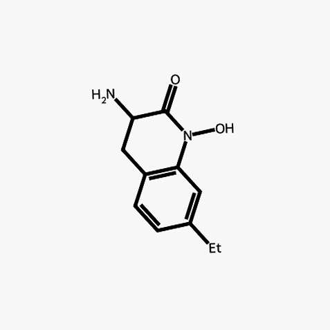 CCc1ccc2c(c1)N(O)C(=O)C(N)C2